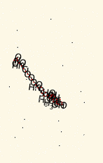 C[C@]12C=CC(=O)C=C1CC[C@H]1C3C[C@H]4O[C@@H](c5ccc(Sc6cccc(NC(=O)CCOCCOCCOCCOCCNC(=O)CCN7C(=O)C=CC7=O)c6)cc5)O[C@@]4(C(=O)CO)[C@@]3(C)C[C@H](O)[C@@]12F